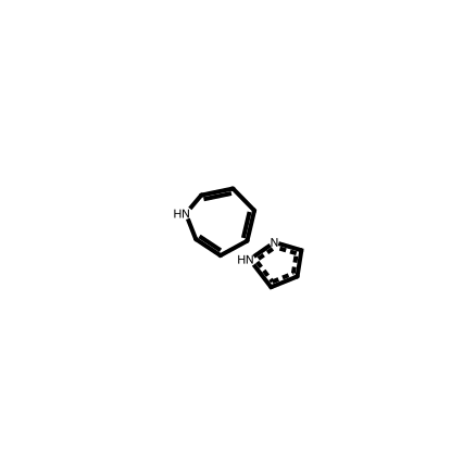 C1=CC=CNC=C1.c1cn[nH]c1